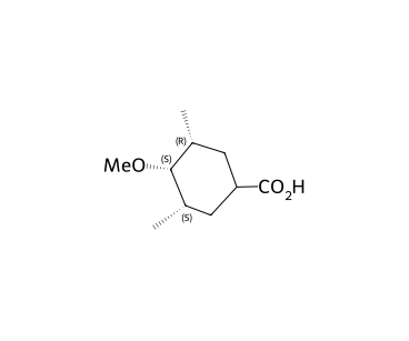 CO[C@@H]1[C@H](C)CC(C(=O)O)C[C@@H]1C